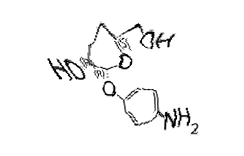 Nc1ccc(O[C@H]2O[C@H](CO)CC[C@H]2O)cc1